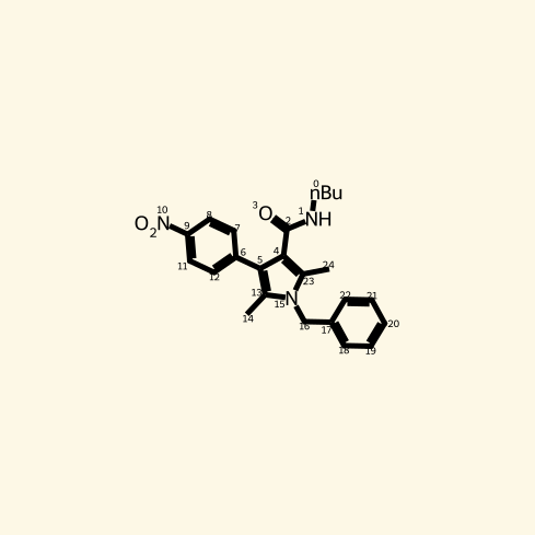 CCCCNC(=O)c1c(-c2ccc([N+](=O)[O-])cc2)c(C)n(Cc2ccccc2)c1C